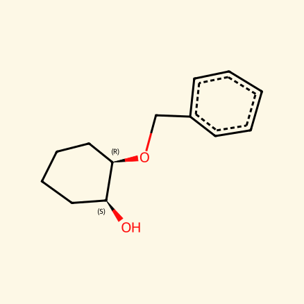 O[C@H]1CCCC[C@H]1OCc1ccccc1